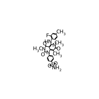 Cc1ccc(Nc2c3c(=O)n(C)c(=O)n(-c4ccc(S(N)(=O)=O)cc4)c3c(C)c(=O)n2C)c(F)c1